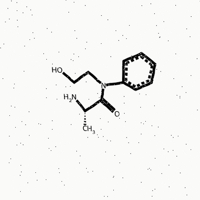 C[C@H](N)C(=O)N(CCO)c1ccccc1